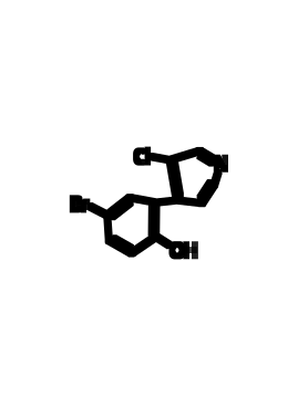 Oc1ccc(Br)cc1-c1ccncc1Cl